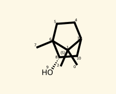 CC1(C)C2CCC1(C)[C@@H](O)C2